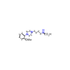 COc1ccccc1N1CCN(CCCCNC(=O)O)CC1